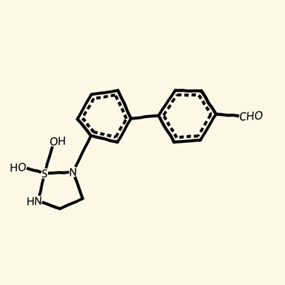 O=Cc1ccc(-c2cccc(N3CCNS3(O)O)c2)cc1